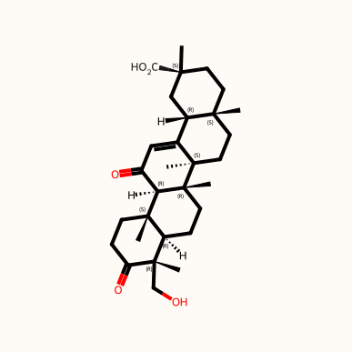 C[C@]1(C(=O)O)CC[C@]2(C)CC[C@]3(C)C(=CC(=O)[C@@H]4[C@@]5(C)CCC(=O)[C@@](C)(CO)[C@@H]5CC[C@]43C)[C@@H]2C1